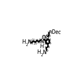 CCCCCCCCCCCCOc1ccc(CCCN)cc1C(=O)NCCCCCCN